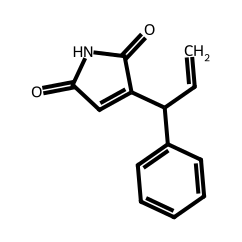 C=CC(C1=CC(=O)NC1=O)c1ccccc1